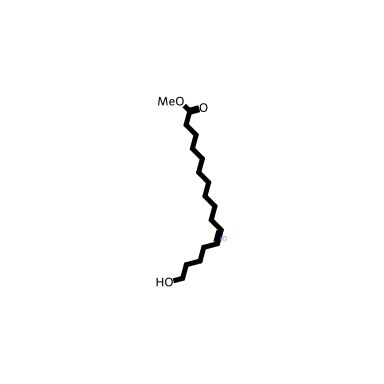 COC(=O)CCCCCCCCC/C=C\CCCCO